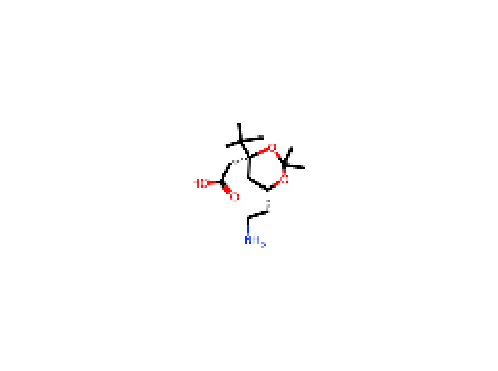 CC1(C)O[C@H](CCN)C[C@@](CC(=O)O)(C(C)(C)C)O1